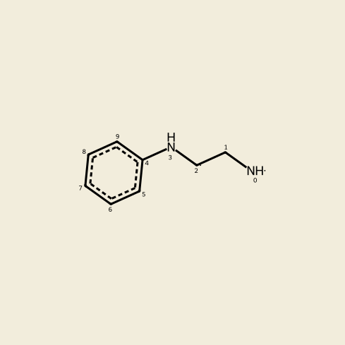 [NH]C[CH]Nc1ccccc1